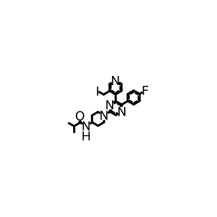 CC(C)C(=O)NC1CCN(c2cnc(-c3ccc(F)cc3)c(-c3ccncc3CI)n2)CC1